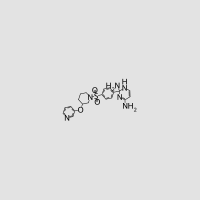 NC1=NC(N)(c2ccc(S(=O)(=O)N3CCCC(Oc4cccnc4)C3)cc2)NC=C1